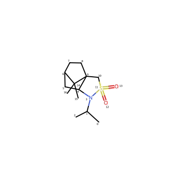 CC(C)N1C2CC3CCC2(CS1(=O)=O)C3(C)C